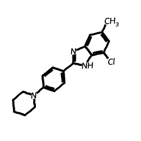 Cc1cc(Cl)c2[nH]c(-c3ccc(N4CCCCC4)cc3)nc2c1